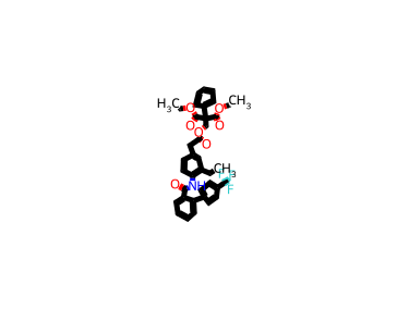 CCOC(=O)C(COC(=O)Cc1ccc(NC(=O)c2ccccc2-c2ccc(C(F)(F)F)cc2)c(CC)c1)(C(=O)OCC)c1ccccc1